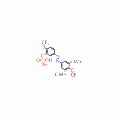 COc1cc(N=Nc2ccc(OC(F)(F)F)c(OP(=O)(O)O)c2)cc(OC)c1OC(F)(F)F